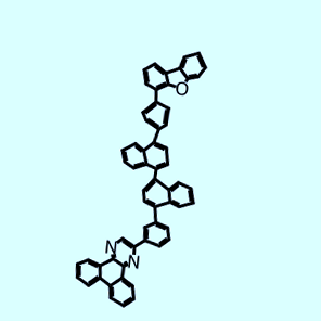 c1cc(-c2cnc3c4ccccc4c4ccccc4c3n2)cc(-c2ccc(-c3ccc(-c4ccc(-c5cccc6c5oc5ccccc56)cc4)c4ccccc34)c3ccccc23)c1